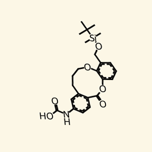 CC(C)(C)[Si](C)(C)OCc1cccc2c1OCCCc1cc(NC(=O)O)ccc1C(=O)O2